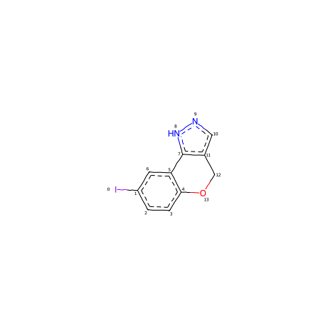 Ic1ccc2c(c1)-c1[nH]ncc1CO2